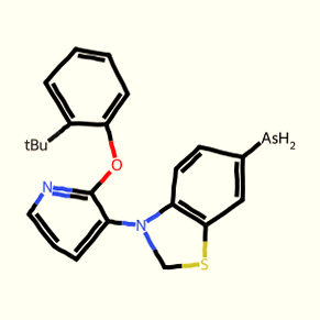 CC(C)(C)c1ccccc1Oc1ncccc1N1CSc2cc([AsH2])ccc21